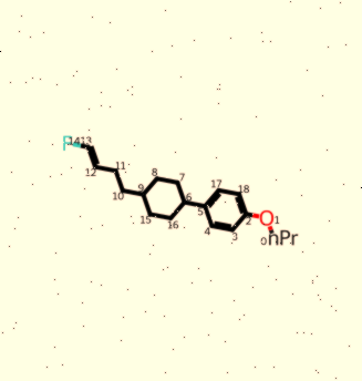 CCCOc1ccc(C2CCC(CCC=CF)CC2)cc1